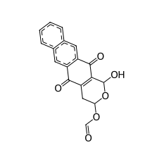 O=COC1CC2=C(C(=O)c3cc4ccccc4cc3C2=O)C(O)O1